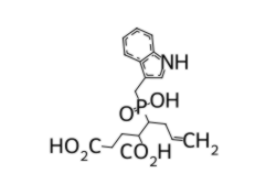 C=CCC(C(CCC(=O)O)C(=O)O)P(=O)(O)Cc1c[nH]c2ccccc12